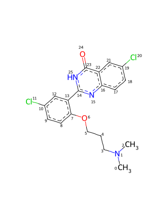 CN(C)CCCOc1ccc(Cl)cc1-c1nc2ccc(Cl)cc2c(=O)[nH]1